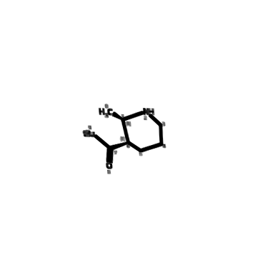 C[C@H]1NCCC[C@H]1C(=O)C(C)(C)C